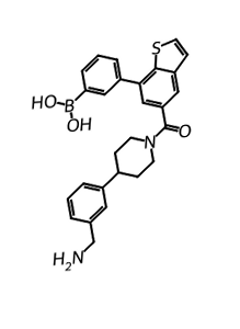 NCc1cccc(C2CCN(C(=O)c3cc(-c4cccc(B(O)O)c4)c4sccc4c3)CC2)c1